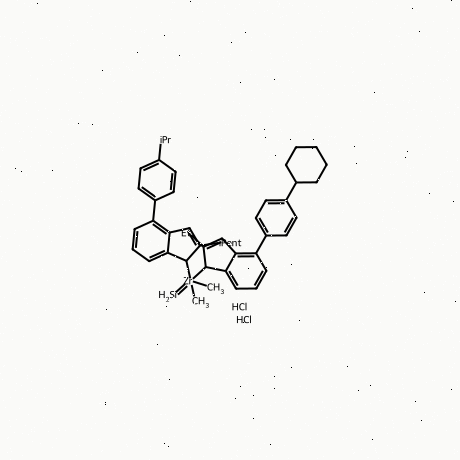 CCCC(C)C1=Cc2c(-c3ccc(C(C)C)cc3)cccc2[CH]1[Zr]([CH3])([CH3])(=[SiH2])[CH]1C(CC)=Cc2c(-c3ccc(C4CCCCC4)cc3)cccc21.Cl.Cl